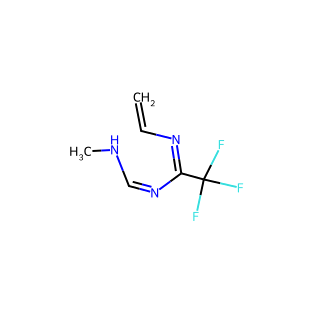 C=C/N=C(\N=C/NC)C(F)(F)F